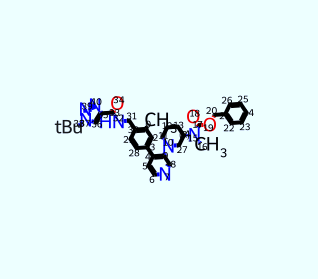 Cc1cc(-c2ccncc2N2CCC[C@@H](N(C)C(=O)OCc3ccccc3)C2)ccc1CNC(=O)c1cn(C(C)(C)C)nn1